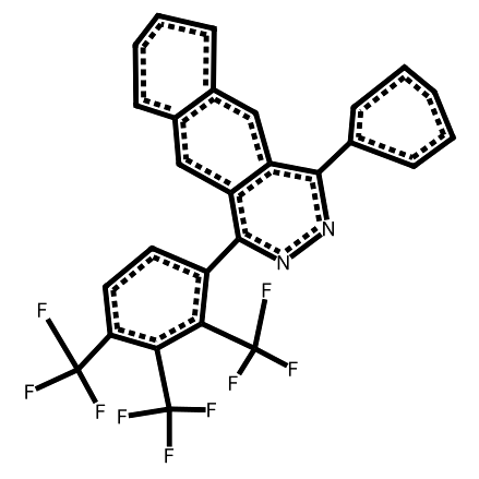 FC(F)(F)c1ccc(-c2nnc(-c3ccccc3)c3cc4ccccc4cc23)c(C(F)(F)F)c1C(F)(F)F